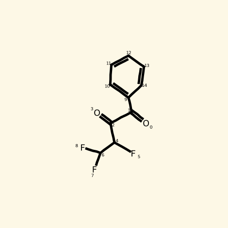 O=C(C(=O)C(F)C(F)F)c1ccccc1